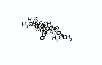 CCCCN(CCCC)C(=O)c1cc(-c2cc3c(cc2C(=O)N2Cc4ccccc4C[C@H]2C)CN(C(=O)Cc2ccc(CN(C)C)cc2)CC3)n(C)c1C